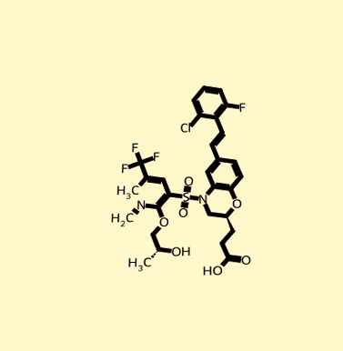 C=N/C(OC[C@@H](C)O)=C(\C=C(/C)C(F)(F)F)S(=O)(=O)N1C[C@H](CCC(=O)O)Oc2ccc(/C=C/c3c(F)cccc3Cl)cc21